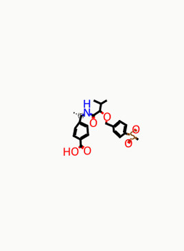 CC(C)C(OCc1ccc(S(C)(=O)=O)cc1)C(=O)N[C@@H](C)c1ccc(C(=O)O)cc1